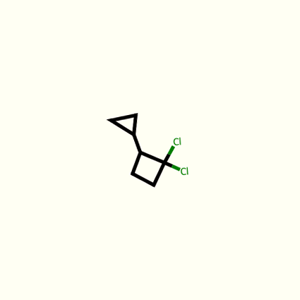 ClC1(Cl)CCC1C1CC1